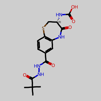 CC(C)(C)C(=O)NNC(=O)c1ccc2c(c1)NC(=O)[C@@H](NC(=O)O)CS2